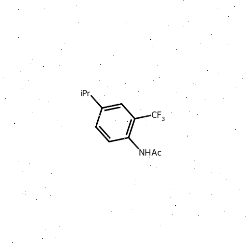 CC(=O)Nc1ccc(C(C)C)cc1C(F)(F)F